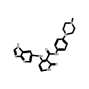 CN1CCN(c2ccc(NC(=O)c3c(Nc4cnc5nc[nH]c5c4)cc[nH]c3=O)cc2)CC1